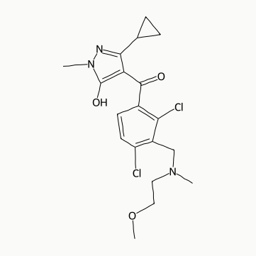 COCCN(C)Cc1c(Cl)ccc(C(=O)c2c(C3CC3)nn(C)c2O)c1Cl